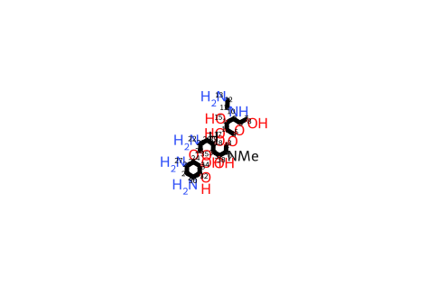 CNC1C(O[C@H]2OC(CO)[C@@H](NCCN)C(O)C2O)O[C@H]2CC(N)[C@@H](O[C@@H]3C(N)C[C@@H](N)C(O)C3O)OC2C1O